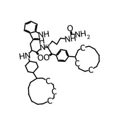 NC(=O)NCCC[C@H](NC(=O)C(Cc1c[nH]c2ccccc12)NC1CCC(C2CCCCCCCCCCCC2)CC1)C(=O)c1ccc(C2CCCCCCCCCCC2)cc1